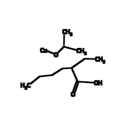 CC(C)[O][Cu].CCCCC(CC)C(=O)O